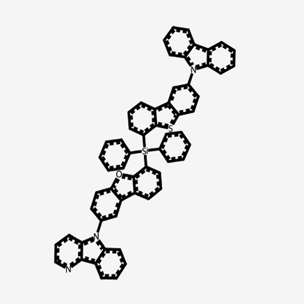 c1ccc([Si](c2ccccc2)(c2cccc3c2oc2ccc(-n4c5ccccc5c5ncccc54)cc23)c2cccc3c2sc2ccc(-n4c5ccccc5c5ccccc54)cc23)cc1